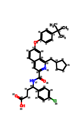 CC(C)(C)c1ccc(Oc2ccc3cc(C(=O)NC(CCC(=O)O)c4ccc(Cl)cc4)nc(CC4CCCC4)c3c2)cc1